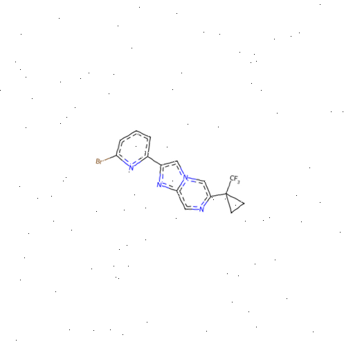 FC(F)(F)C1(c2cn3cc(-c4cccc(Br)n4)nc3cn2)CC1